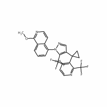 COc1nccc2c(-n3ncc(C4(c5c(N)ccnc5C(F)(F)F)CC4)c3C(F)(F)F)cccc12